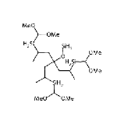 COC(OC)[SiH2]C(C)CC(CC(C)[SiH2]C(OC)OC)(CC(C)[SiH2]C(OC)OC)O[SiH3]